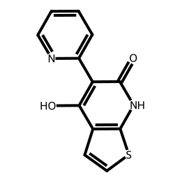 O=c1[nH]c2sccc2c(O)c1-c1ccccn1